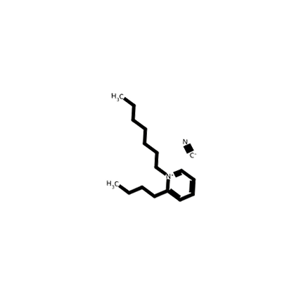 CCCCCCC[n+]1ccccc1CCCC.[C-]#N